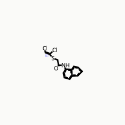 O=C(CS/C(Cl)=C/Cl)Nc1cccc2ccccc12